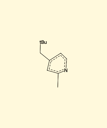 Cc1cc(CC(C)(C)C)ccn1